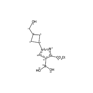 CCOC(=O)c1nn(C2CC(CO)C2)cc1B(O)O